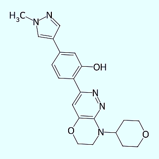 Cn1cc(-c2ccc(-c3cc4c(nn3)N(C3CCOCC3)CCO4)c(O)c2)cn1